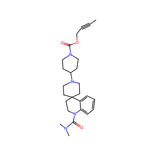 CC#CCOC(=O)N1CCC(N2CCC3(CCN(C(=O)N(C)C)c4ccccc43)CC2)CC1